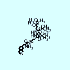 CC(C)(C)OC(=O)CC[C@H](NC(=O)N[C@@H](CCCCNC(=O)[C@H](N)Cc1ccc2ccncc2c1)C(=O)OC(C)(C)C)C(=O)OC(C)(C)C